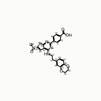 O=C(O)c1ccc(-c2nc(NCCc3ccc4c(c3)OCCO4)c3cc([N+](=O)[O-])sc3n2)cc1